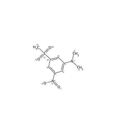 CN(C)c1cc([N+](=O)[O-])cc(S(C)(=O)=O)c1